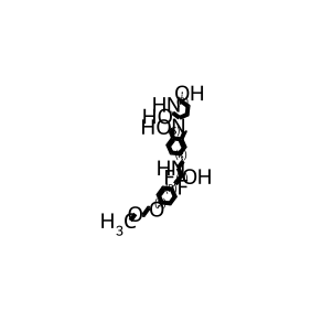 COCCO[C@@H]1C=C[C@H](C(F)(F)[C@H](O)NC[C@H]2C=C3CN(C4CC[C@@H](O)NC4O)[C@@H](O)C3=CC2)CC1